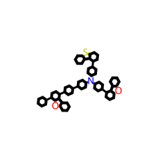 c1ccc(-c2ccc(-c3ccc(-c4ccc(N(c5ccc(-c6cccc7oc8ccccc8c67)cc5)c5ccc(-c6cccc7sc8ccccc8c67)cc5)cc4)cc3)c3c2oc2ccccc23)cc1